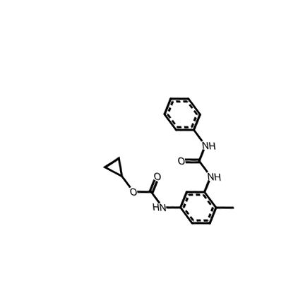 Cc1ccc(NC(=O)OC2CC2)cc1NC(=O)Nc1ccccc1